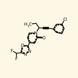 CCC(C#Cc1cccc(Cl)c1)n1ccc(-c2nnc(C(F)F)o2)cc1=O